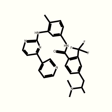 Cc1ccc(NC(=O)c2ccc(CC(C)N(C)C)cc2C(F)(F)F)cc1Nc1nccc(-c2cccnc2)n1